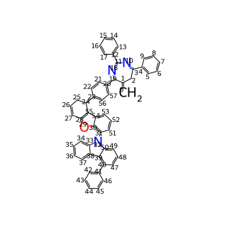 C=C1CC(c2ccccc2)=NC(c2ccccc2)=NC1c1ccc(C2CC=Cc3oc4c(-n5c6ccccc6c6c(-c7ccccc7)cccc65)cccc4c32)cc1